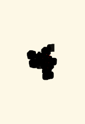 COc1ccc(-c2c(-c3ccc(Cl)cc3)[c]c(-c3ccccc3)c(-c3ccccc3Cl)c2OC(Cc2ccc3c(c2)OCO3)(c2ccccc2)c2ccccc2)cc1